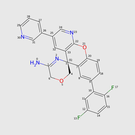 NC1=N[C@@]2(COC1)c1cc(-c3cc(F)ccc3F)ccc1Oc1ncc(-c3cccnc3)cc12